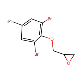 CC(C)c1cc(Br)c(OCC2CO2)c(Br)c1